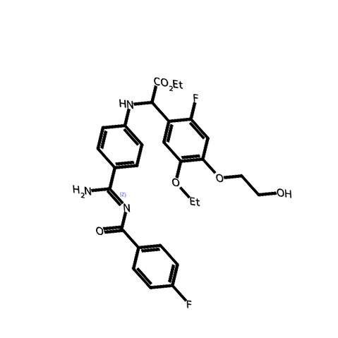 CCOC(=O)C(Nc1ccc(/C(N)=N/C(=O)c2ccc(F)cc2)cc1)c1cc(OCC)c(OCCO)cc1F